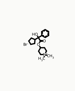 C[N+]1(C)CCC(OC(=O)C(O)(c2ccccc2)C2CCCC2)CC1.[Br-]